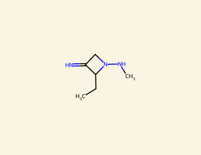 CCC1C(=N)CN1NC